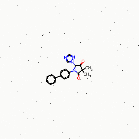 CC1(C)C(=O)C(n2cncn2)N(c2ccc(-c3ccccc3)cc2)C1=O